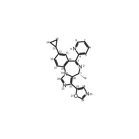 C[C@H]1N=C(c2ccccn2)c2cc(C3CC3)ccc2-n2cnc(-c3cnco3)c21